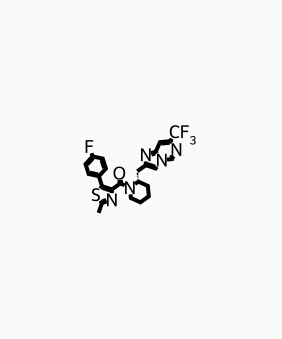 Cc1nc(C(=O)N2CCCC[C@H]2Cc2cn3cnc(C(F)(F)F)cc3n2)c(-c2ccc(F)cc2)s1